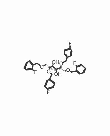 O[C@@H]([C@H](O)[C@@H](COCc1ccccc1F)OCc1ccc(F)cc1)[C@@H](COCc1ccccc1F)OCc1ccc(F)cc1